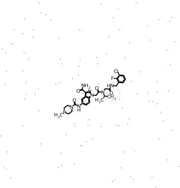 CC(C)N(CC(=O)NCc1cccc(Cl)c1F)C(=O)Cn1nc(C(N)=O)c2cc(NC(=O)N3CCN(C)CC3)ccc21